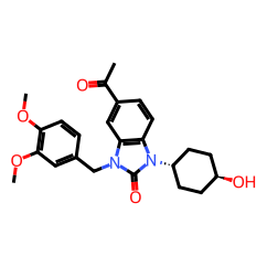 COc1ccc(Cn2c(=O)n([C@H]3CC[C@H](O)CC3)c3ccc(C(C)=O)cc32)cc1OC